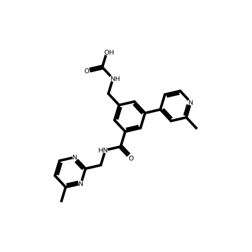 Cc1cc(-c2cc(CNC(=O)O)cc(C(=O)NCc3nccc(C)n3)c2)ccn1